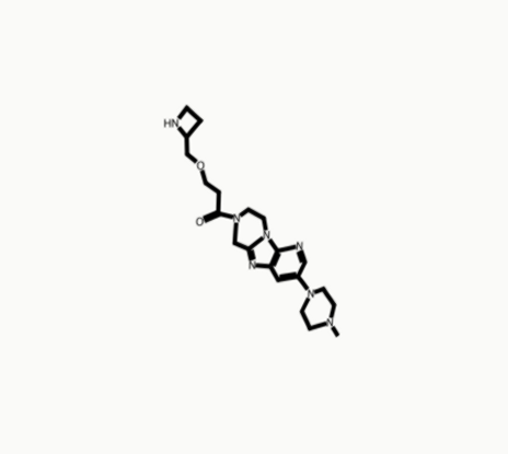 CN1CCN(c2cnc3c(c2)nc2n3CCN(C(=O)CCOCC3CCN3)C2)CC1